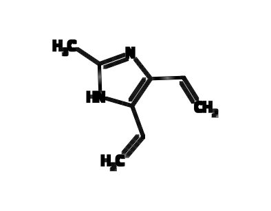 C=Cc1nc(C)[nH]c1C=C